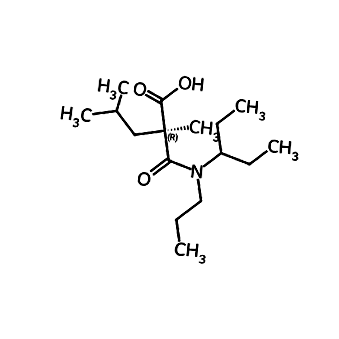 CCCN(C(=O)[C@@](C)(CC(C)C)C(=O)O)C(CC)CC